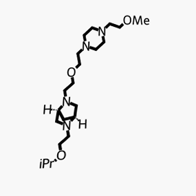 COCCN1CCN(CCOCCN2C[C@@H]3C[C@H]2CN3CCOC(C)C)CC1